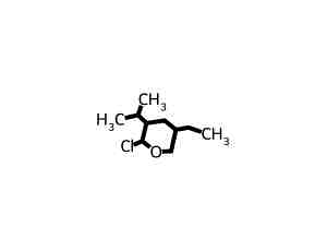 CCC1COC(Cl)C(C(C)C)C1